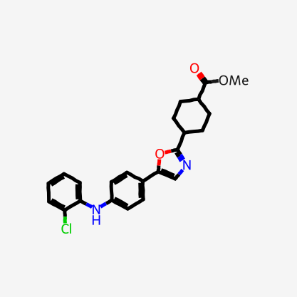 COC(=O)C1CCC(c2ncc(-c3ccc(Nc4ccccc4Cl)cc3)o2)CC1